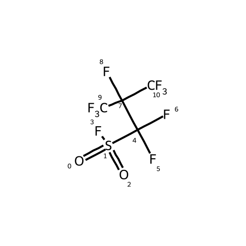 O=S(=O)(F)C(F)(F)C(F)(C(F)(F)F)C(F)(F)F